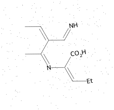 C\C=C(C=N)/C(C)=N\C(=C\CC)C(=O)O